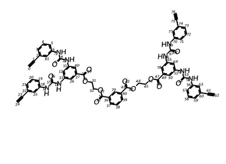 C#Cc1cccc(NC(=O)Nc2cc(NC(=O)Nc3cccc(C#C)c3)cc(C(=O)OCCOC(=O)c3cccc(C(=O)OCCOC(=O)c4cc(NC(=O)Nc5cccc(C#C)c5)cc(NC(=O)Nc5cccc(C#C)c5)c4)c3)c2)c1